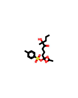 CCCC(C)(O)C(=O)CCCC1(OS(=O)(=O)c2ccc(C)cc2)OC(C)O1